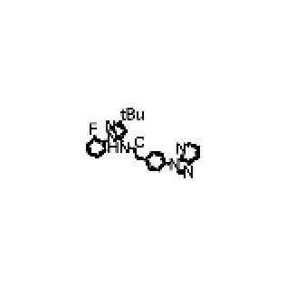 CC(C)(C)c1cc(NC(=O)Cc2ccc(-n3cnc4cccnc43)cc2)n(-c2ccccc2F)n1